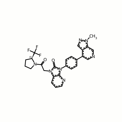 Cn1ncc2c(-c3ccc(-n4c(=O)n(CC(=O)N5CCC[C@H]5C(F)(F)F)c5cccnc54)cc3)cncc21